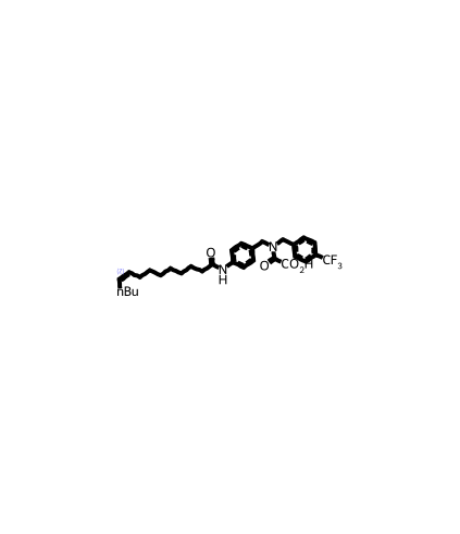 CCCC/C=C\CCCCCCCC(=O)Nc1ccc(CN(Cc2ccc(C(F)(F)F)cc2)C(=O)C(=O)O)cc1